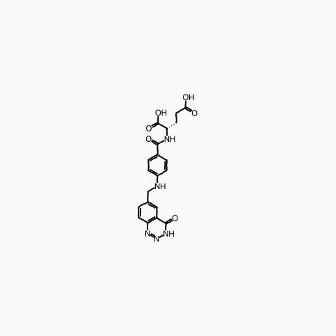 O=C(O)CC[C@H](NC(=O)c1ccc(NCc2ccc3nn[nH]c(=O)c3c2)cc1)C(=O)O